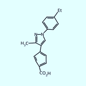 CCc1ccc(-n2cc(-c3ccc(C(=O)O)cc3)c(C)n2)cc1